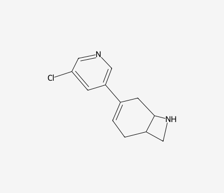 Clc1cncc(C2=CCC3CNC3C2)c1